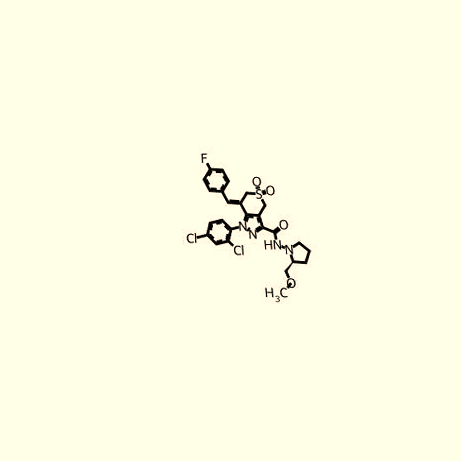 COC[C@@H]1CCCN1NC(=O)c1nn(-c2ccc(Cl)cc2Cl)c2c1CS(=O)(=O)C/C2=C\c1ccc(F)cc1